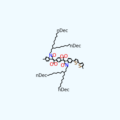 CCCCCCCCCCCCCCCCCCC(CCCCCCCCCCCCCCCCCC)CCCN1C(=O)/C(=C2/C(=O)Oc3cc4c(cc32)OC(=O)/C4=C2/C(=O)N(CCCC(CCCCCCCCCCCCCCCCCC)CCCCCCCCCCCCCCCCCC)c3cc(-c4ccc(-c5ccc(C)s5)s4)ccc32)c2ccc(C)cc21